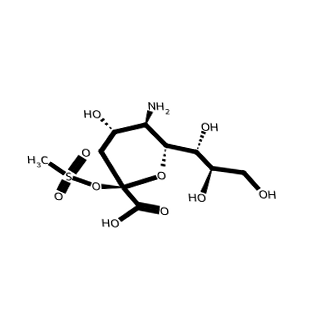 CS(=O)(=O)O[C@@]1(C(=O)O)C[C@H](O)[C@@H](N)[C@H]([C@H](O)[C@H](O)CO)O1